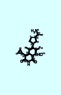 Cc1c(N2CC[C@@H]([C@H](C)N)C2)c(F)cn2c(=O)[nH]c(=O)c(C3CC3)c12.Cl